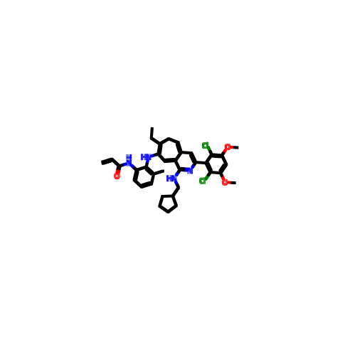 C=CC(=O)Nc1cccc(C)c1NC1=C(CC)CC=c2cc(-c3c(Cl)c(OC)cc(OC)c3Cl)nc(NCC3CCCC3)c2=C1